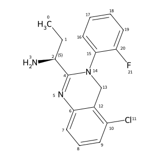 CC[C@H](N)C1=Nc2cccc(Cl)c2CN1c1ccccc1F